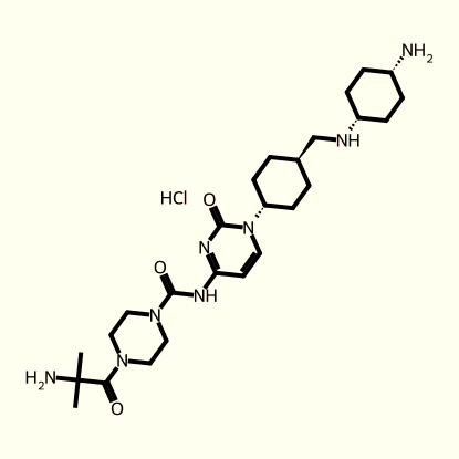 CC(C)(N)C(=O)N1CCN(C(=O)Nc2ccn([C@H]3CC[C@H](CN[C@H]4CC[C@@H](N)CC4)CC3)c(=O)n2)CC1.Cl